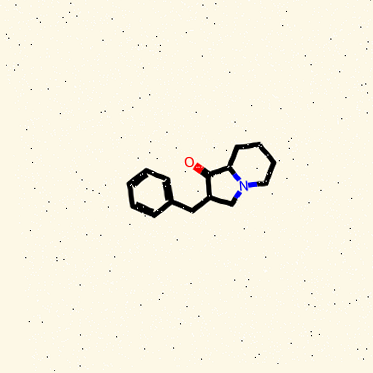 O=C1C(Cc2ccccc2)CN2CCCCC12